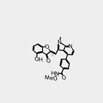 CONC(=O)c1ccc(-c2ccnc3c2c(/C=C2\Oc4cccc(O)c4C2=O)cn3C)cc1